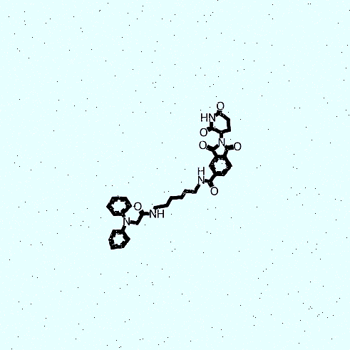 O=C(CN(c1ccccc1)c1ccccc1)NCCCCCCNC(=O)c1ccc2c(c1)C(=O)N(C1CCC(=O)NC1=O)C2=O